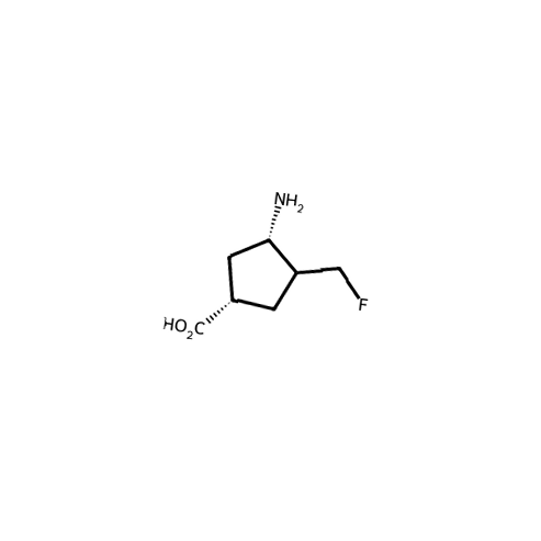 N[C@H]1C[C@@H](C(=O)O)CC1CF